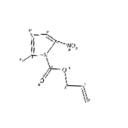 C=CCOC(=O)n1c([N+](=O)[O-])cnc1C